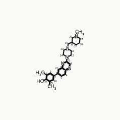 Cc1cc(-c2ccc3ncc(N4CCN(CC5CCCN(C)C5)CC4)nc3c2)cc(C)c1O